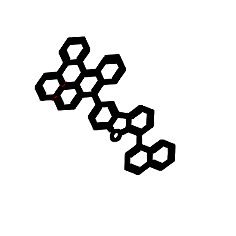 c1ccc2c(-c3ccc4oc5c(-c6cccc7ccccc67)cccc5c4c3)c3ccccc3c(-c3ccccc3C3=CC=CCC3)c2c#1